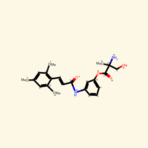 COc1cc(OC)c(C=CC(=O)Nc2cccc(OC(=O)C(N)(CO)OC)c2)c(OC)c1